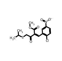 COC(=O)C(=Cc1cc([N+](=O)[O-])ccc1Cl)C(=O)CSC(C)C